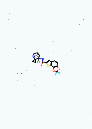 O=C(N[C@H]1C2CCN(CC2)C12CC2)c1cc2ccc3c(c2s1)OC(F)(F)O3